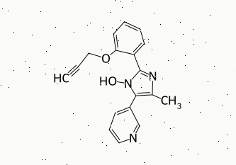 C#CCOc1ccccc1-c1nc(C)c(-c2cccnc2)n1O